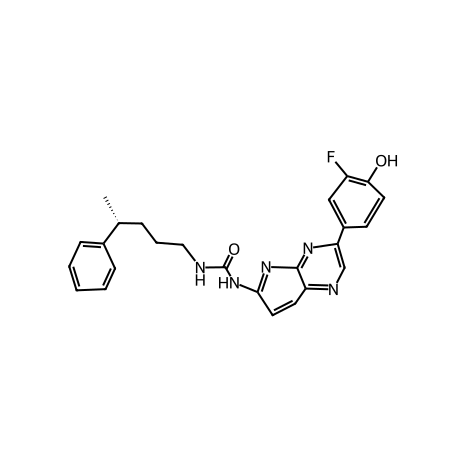 C[C@H](CCCNC(=O)Nc1ccc2ncc(-c3ccc(O)c(F)c3)nc2n1)c1ccccc1